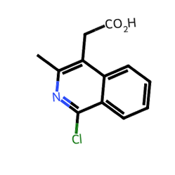 Cc1nc(Cl)c2ccccc2c1CC(=O)O